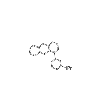 CC(C)c1cccc(-c2cccc3cc4ccccc4cc23)c1